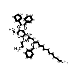 C=CCO[C@H]1O[C@H](CO)[C@@H](OCc2ccccc2)[C@H](OCc2ccccc2)[C@@H]1NC(=O)C[C@@H](CCCCCCCCCCC)OCc1ccccc1